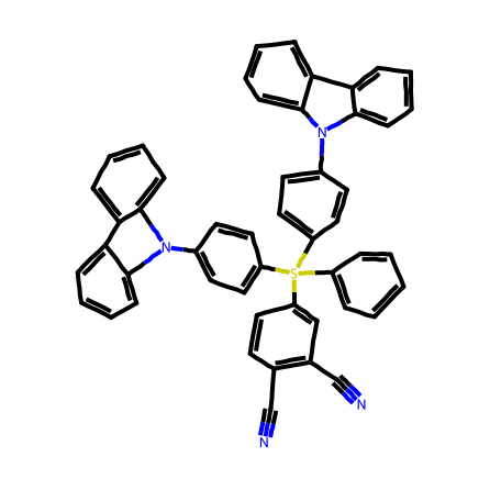 N#Cc1ccc(S(c2ccccc2)(c2ccc(-n3c4ccccc4c4ccccc43)cc2)c2ccc(-n3c4ccccc4c4ccccc43)cc2)cc1C#N